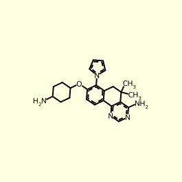 CC1(C)Cc2c(ccc(OC3CCC(N)CC3)c2-n2cccc2)-c2ncnc(N)c21